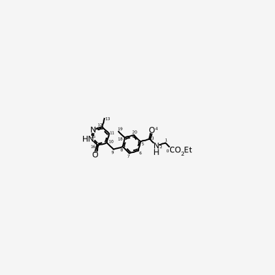 CCOC(=O)CNC(=O)c1ccc(Cc2cc(C)n[nH]c2=O)c(C)c1